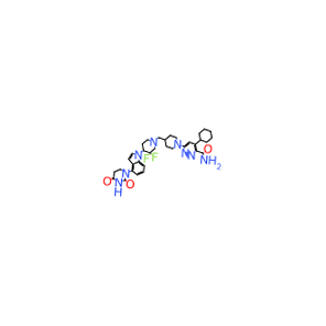 NC(=O)c1nnc(N2CCC(CN3CCC(n4ccc5c(N6CCC(=O)NC6=O)cccc54)C(F)(F)C3)CC2)cc1C1CCCCC1